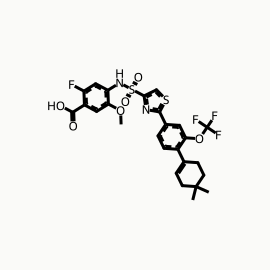 COc1cc(C(=O)O)c(F)cc1NS(=O)(=O)c1csc(-c2ccc(C3=CCC(C)(C)CC3)c(OC(F)(F)F)c2)n1